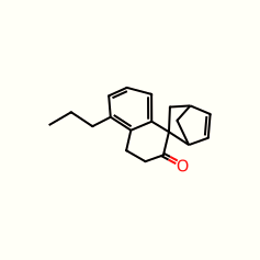 CCCc1cccc2c1CCC(=O)C21CC2C=CC1C2